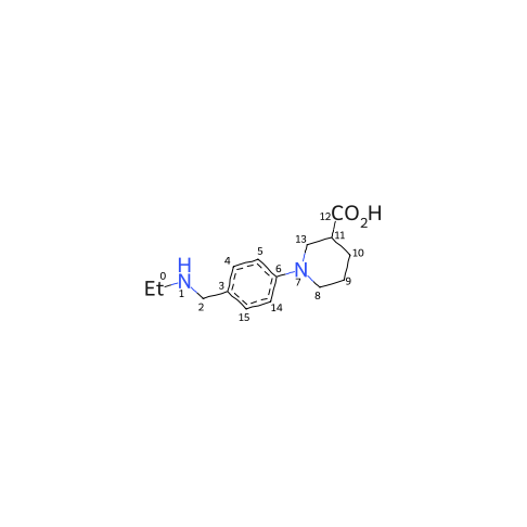 CCNCc1ccc(N2CCCC(C(=O)O)C2)cc1